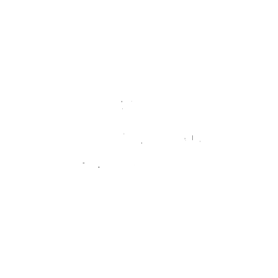 CC[Si](C(=O)C(F)(F)C(F)(F)F)(C(=O)C(F)(F)C(F)(F)F)C(=O)C(F)(F)C(F)(F)F